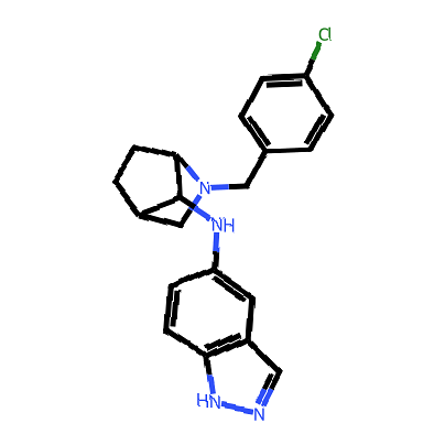 Clc1ccc(CN2CC3CCC2C3Nc2ccc3[nH]ncc3c2)cc1